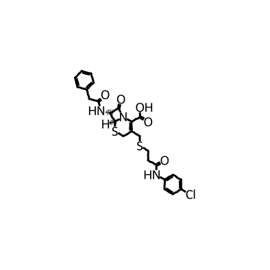 O=C(CCSCC1=C(C(=O)O)N2C(=O)[C@@H](NC(=O)Cc3ccccc3)[C@H]2SC1)Nc1ccc(Cl)cc1